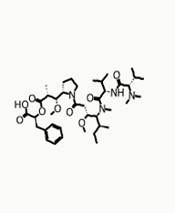 CC[C@H](C)[C@@H]([C@@H](CC(=O)N1CCC[C@H]1[C@H](OC)[C@@H](C)C(=O)O[C@@H](Cc1ccccc1)C(=O)O)OC)N(C)C(=O)[C@@H](NC(=O)[C@H](C(C)C)N(C)C)C(C)C